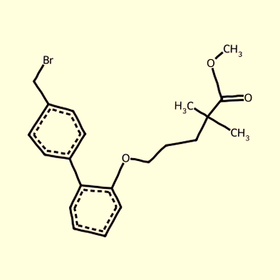 COC(=O)C(C)(C)CCCOc1ccccc1-c1ccc(CBr)cc1